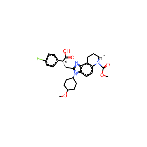 COC(=O)N1c2ccc3c(nc(C[C@@H](C(=O)O)c4ccc(F)cc4)n3C3CCC(OC)CC3)c2CC[C@@H]1C